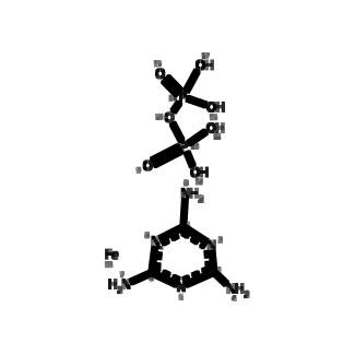 Nc1nc(N)nc(N)n1.O=P(O)(O)OP(=O)(O)O.[Fe]